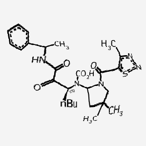 CCCC[C@@H](C(=O)C(=O)NC(C)c1ccccc1)N(C(=O)O)C1CC(C)(C)CN1C(=O)c1snnc1C